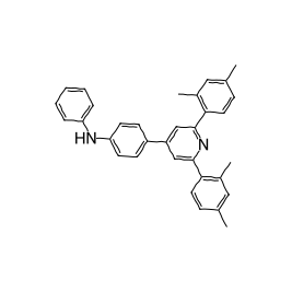 Cc1ccc(-c2cc(-c3ccc(Nc4ccccc4)cc3)cc(-c3ccc(C)cc3C)n2)c(C)c1